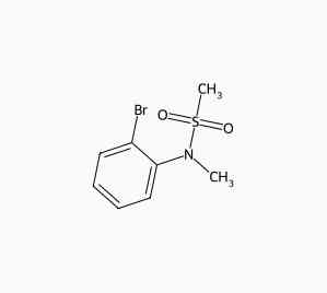 CN(c1ccccc1Br)S(C)(=O)=O